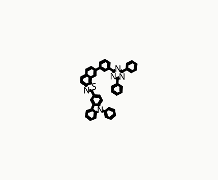 c1ccc(-c2nc(-c3ccccc3)nc(-c3cccc(-c4ccc5ccc6nc(-c7ccc8c(c7)c7ccccc7n8-c7ccccc7)sc6c5c4)c3)n2)cc1